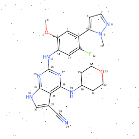 COc1cc(-c2ccnn2C)c(F)cc1Nc1nc(NC2CCOCC2)c2c(C#N)c[nH]c2n1